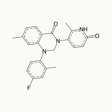 Cc1ccc2c(c1)N(c1ccc(F)cc1C)CN(c1ccc(=O)[nH]c1C)C2=O